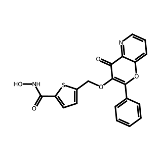 O=C(NO)c1ccc(COc2c(-c3ccccc3)oc3cccnc3c2=O)s1